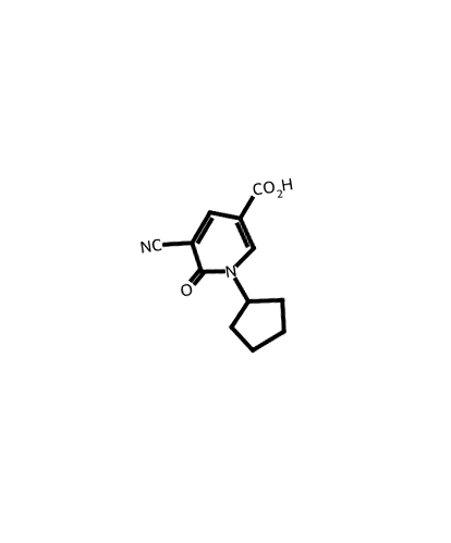 N#Cc1cc(C(=O)O)cn(C2CCCC2)c1=O